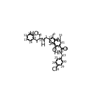 Cc1c(CN[C@H](CO)Cc2ccccc2)sc2c(=O)c(C(=O)NCc3ccc(Cl)cc3)cn(C)c12